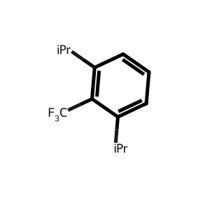 CC(C)c1cccc(C(C)C)c1C(F)(F)F